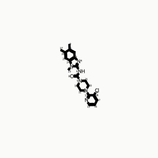 Cc1cc2nc(NC(=O)N3CCN(c4ncccc4Cl)CC3)n(C)c2cc1C